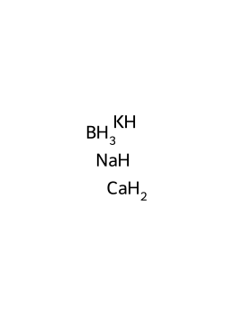 B.[CaH2].[KH].[NaH]